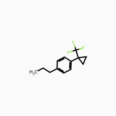 CCCc1ccc(C2(C(F)(F)F)CC2)cc1